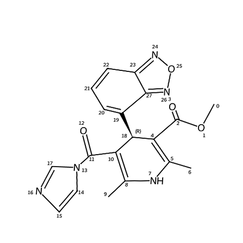 COC(=O)C1=C(C)NC(C)=C(C(=O)n2ccnc2)[C@H]1c1cccc2nonc12